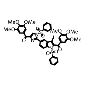 COc1cc(C(=O)c2cn(S(=O)(=O)c3ccccc3)c(-c3ccc4c(c3)c(I)c(C(=O)c3cc(OC)c(OC)c(OC)c3)n4S(=O)(=O)c3ccccc3)n2)cc(OC)c1OC